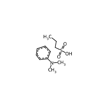 CCCS(=O)(=O)O.CN(C)c1ccccc1